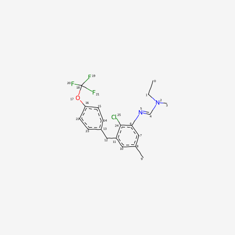 CCN(C)C=Nc1cc(C)cc(Cc2ccc(OC(F)(F)F)cc2)c1Cl